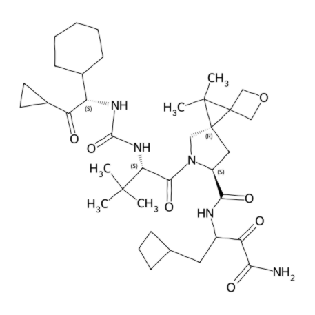 CC(C)(C)[C@H](NC(=O)N[C@H](C(=O)C1CC1)C1CCCCC1)C(=O)N1C[C@]2(C[C@H]1C(=O)NC(CC1CCC1)C(=O)C(N)=O)C(C)(C)C21COC1